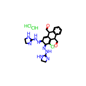 Cl.Cl.O=CC1C2=CC(=NNC3=NCCN3)C(=NNC3=NCCN3)C(Cl)=C2C(C=O)c2ccccc21